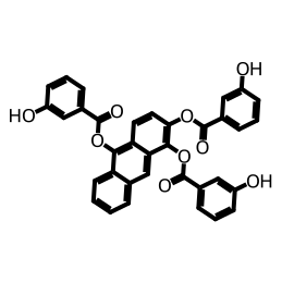 O=C(Oc1ccc2c(OC(=O)c3cccc(O)c3)c3ccccc3cc2c1OC(=O)c1cccc(O)c1)c1cccc(O)c1